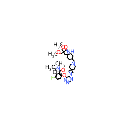 CCN(C(=O)c1cc(F)ccc1Oc1nncnc1N1CC2(CCN(CC3CCC4(CC3)CC(COC)(COC)C(=O)N4)CC2)C1)C(C)C